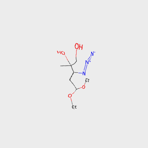 CCOC(CC(N=[N+]=[N-])C(C)(O)CO)OCC